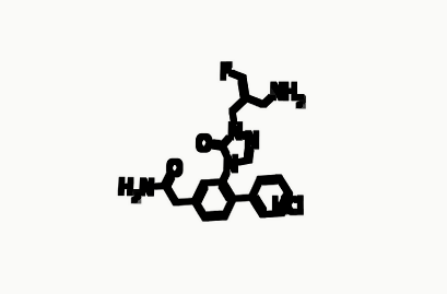 Cl.NC/C(=C/F)Cn1ncn(-c2cc(CC(N)=O)ccc2-c2ccccc2)c1=O